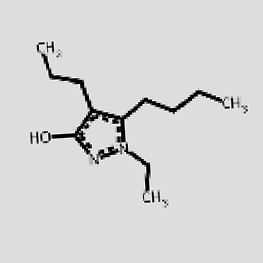 CCCCc1c(CCC)c(O)nn1CC